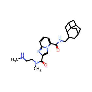 CNCCN(C)C(=O)c1cn2c(C(=O)NCC34CC5CC6CC(C3)C6(C5)C4)cccc2n1